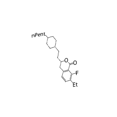 CCCCCC1CCC(CCC2Cc3ccc(CC)c(F)c3C(=O)O2)CC1